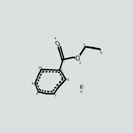 CCOC(=O)c1ccccc1.[K]